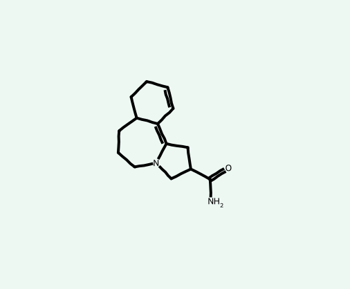 NC(=O)C1CC2=C3C=CCCC3CCCN2C1